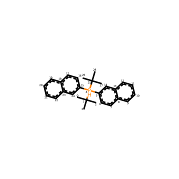 CC(C)(C)[PH](c1ccc2ccccc2c1)(c1ccc2ccccc2c1)C(C)(C)C